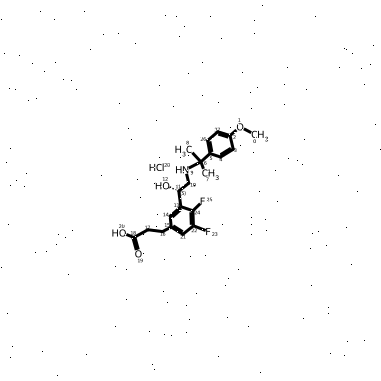 COc1ccc(C(C)(C)NC[C@@H](O)c2cc(CCC(=O)O)cc(F)c2F)cc1.Cl